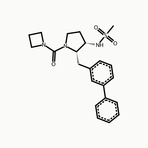 CS(=O)(=O)N[C@H]1CCN(C(=O)N2CCC2)[C@H]1Cc1cccc(-c2ccccc2)c1